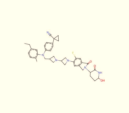 CCc1ccc(C)c(N(CC2CN(C3CN(c4cc5c(cc4F)C(=O)N(C4CCC(O)NC4=O)C5)C3)C2)c2ccc(C3(C#N)CC3)cc2)c1